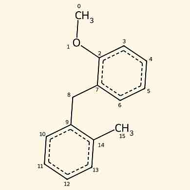 COc1ccccc1Cc1ccccc1C